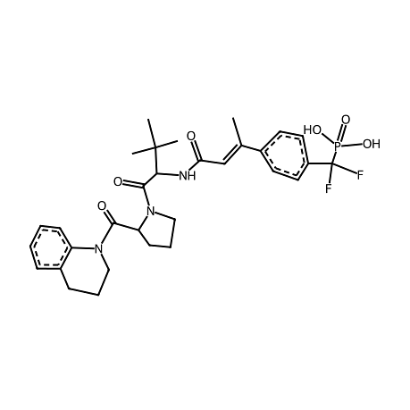 C/C(=C\C(=O)NC(C(=O)N1CCCC1C(=O)N1CCCc2ccccc21)C(C)(C)C)c1ccc(C(F)(F)P(=O)(O)O)cc1